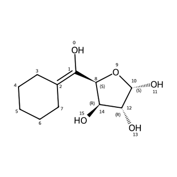 OC(=C1CCCCC1)[C@H]1O[C@H](O)[C@H](O)[C@H]1O